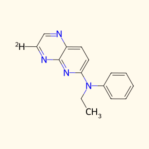 [2H]c1cnc2ccc(N(CC)c3ccccc3)nc2n1